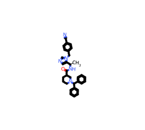 C[C@H](NC(=O)C1CCCN(C(c2ccccc2)c2ccccc2)C1)c1cncn1Cc1ccc(C#N)cc1